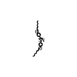 CCCCC=CCOc1ccc(-c2cnc(-c3ccc(OCC=CCCCC)cc3)s2)cc1